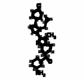 Cn1c(-c2cnc(-c3ccc(Cl)cc3)n2CC2CC2)nc2cc(C(=O)N3CCC[C@@H](N)C3)ccc21